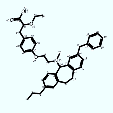 CCCc1ccc2c(c1)CCc1ccc(Cc3ccccc3)cc1C2N(C)CCOc1ccc(CC(OCC)C(=O)O)cc1